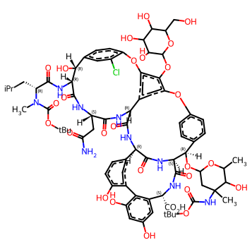 CC(C)C[C@H](C(=O)N[C@H]1C(=O)N[C@@H](CC(N)=O)C(=O)N[C@H]2C(=O)N[C@H]3C(=O)N[C@H](C(=O)N[C@H](C(=O)O)c4cc(O)cc(O)c4-c4cc3ccc4O)[C@H](OC3CC(C)(NC(=O)OC(C)(C)C)C(O)C(C)O3)c3ccc(cc3)Oc3cc2cc(c3OC2OC(CO)C(O)C(O)C2O)Oc2ccc(cc2Cl)[C@H]1O)N(C)C(=O)OC(C)(C)C